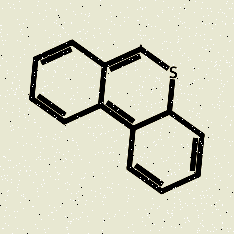 [C]1=c2ccccc2=C2C=CC=CC2S1